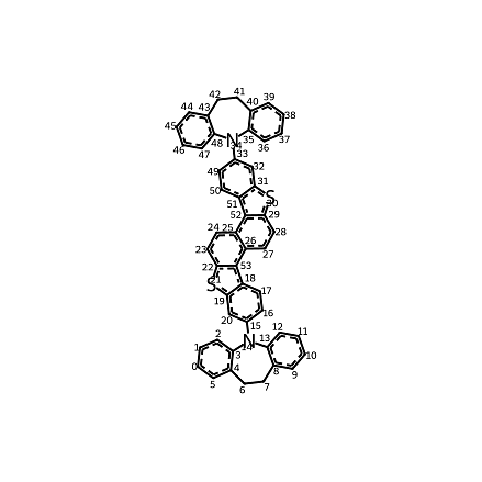 c1ccc2c(c1)CCc1ccccc1N2c1ccc2c(c1)sc1ccc3c(ccc4sc5cc(N6c7ccccc7CCc7ccccc76)ccc5c43)c12